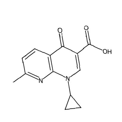 Cc1ccc2c(=O)c(C(=O)O)cn(C3CC3)c2n1